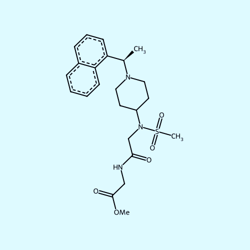 COC(=O)CNC(=O)CN(C1CCN([C@H](C)c2cccc3ccccc23)CC1)S(C)(=O)=O